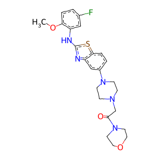 COc1ccc(F)cc1Nc1nc2cc(N3CCN(CC(=O)N4CCOCC4)CC3)ccc2s1